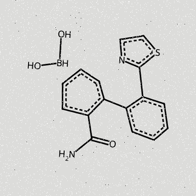 NC(=O)c1ccccc1-c1ccccc1-c1nccs1.OBO